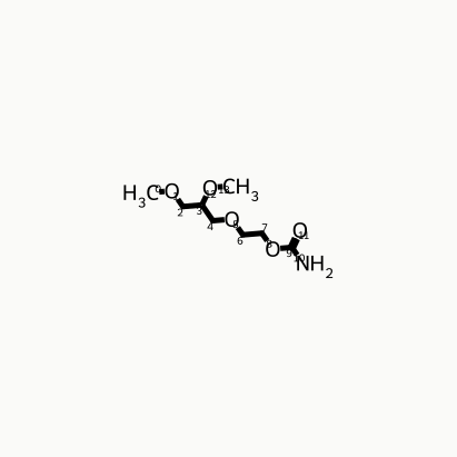 COCC(COCCOC(N)=O)OC